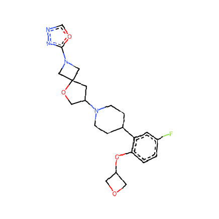 Fc1ccc(OC2COC2)c(C2CCN(C3COC4(C3)CN(c3nnco3)C4)CC2)c1